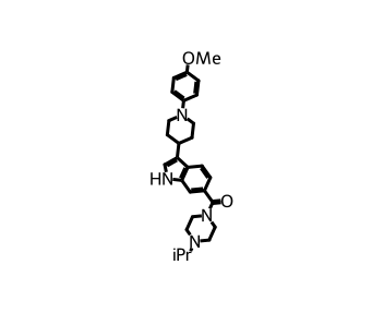 COc1ccc(N2CCC(c3c[nH]c4cc(C(=O)N5CCN(C(C)C)CC5)ccc34)CC2)cc1